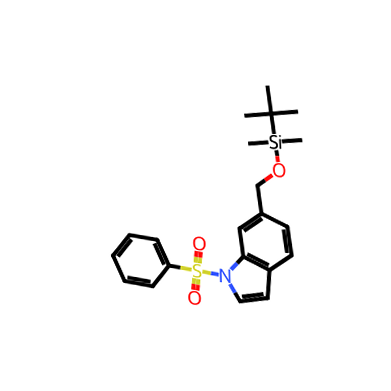 CC(C)(C)[Si](C)(C)OCc1ccc2ccn(S(=O)(=O)c3ccccc3)c2c1